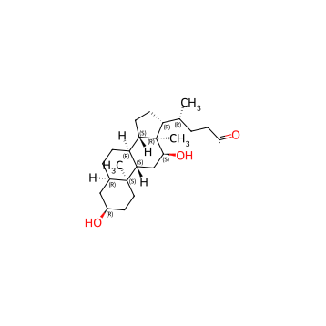 C[C@H](CC[C]=O)[C@H]1CC[C@H]2[C@@H]3CC[C@@H]4C[C@H](O)CC[C@]4(C)[C@H]3C[C@H](O)[C@]12C